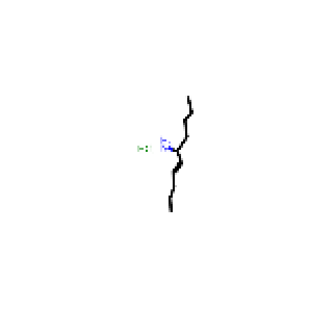 CCCC=CC(N)CCCC.Cl